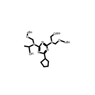 CCCCOCN(COC)c1nc(C2CCCC2)nc(N(COCCCC)C(C)O)n1